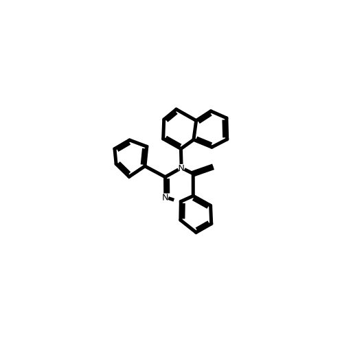 C=C(c1ccccc1)N(/C(=N\C)c1ccccc1)c1cccc2ccccc12